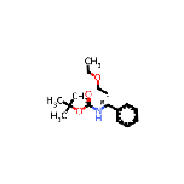 CCOCC[C@@H](NC(=O)OC(C)(C)C)c1ccccc1